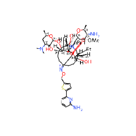 CCCN1C[C@H](C)[C@H]2CC/C(=N\OCc3ccc(-c4cccc(N)n4)s3)CC[C@](C)(C[C@H]1C)[C@H](O[C@@H]1O[C@H](C)C[C@H](N(C)C)[C@H]1O)[C@@H](C)[C@H](O[C@H]1C[C@@](C)(OC)[C@H](N)[C@H](C)O1)[C@@H](C)C(=O)O[C@H](CC)[C@@]2(C)O